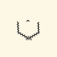 CCC.CCCCCCCC/C=C\CCCCCCCC(=O)[N+](C)(C)C(=O)CCCCCCC/C=C\CCCCCCCC